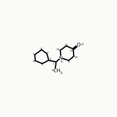 CC(C1CCCCC1)N1CCC(=O)CC1